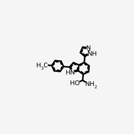 Cc1ccc(-c2cc3c(-c4ccn[nH]4)ccc(C(N)O)c3[nH]2)cc1